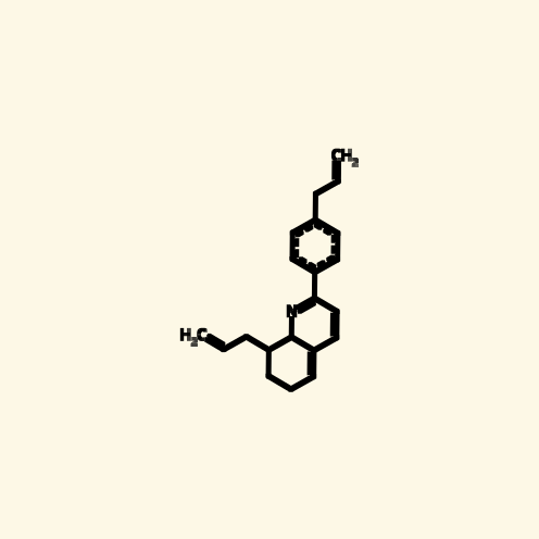 C=CCc1ccc(C2=NC3C(=CCCC3CC=C)C=C2)cc1